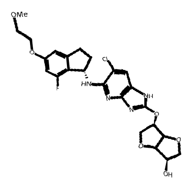 COCCOc1cc(F)c2c(c1)CC[C@@H]2Nc1nc2nc(O[C@@H]3COC4C3OC[C@H]4O)[nH]c2cc1Cl